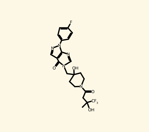 CC(O)(CC(=O)N1CCC(O)(Cn2cnc3c(cnn3-c3ccc(F)cc3)c2=O)CC1)C(F)(F)F